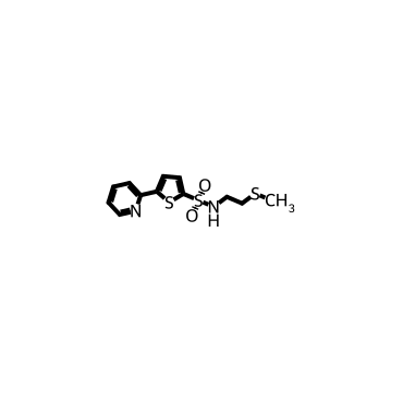 CSCCNS(=O)(=O)c1ccc(-c2ccccn2)s1